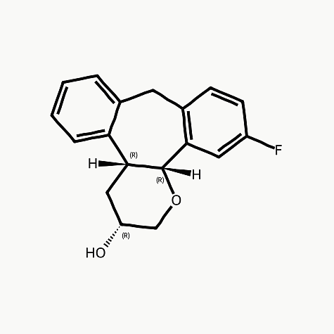 O[C@H]1CO[C@H]2c3cc(F)ccc3Cc3ccccc3[C@H]2C1